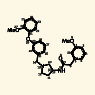 COc1cccc(CC(=O)N[C@H]2CCN(Cc3cccc(Oc4ccccc4OC)c3)C2)c1